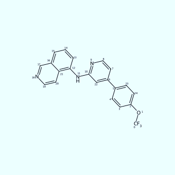 FC(F)(F)Oc1ccc(-c2ccnc(Nc3cccc4cnccc34)c2)cc1